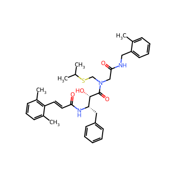 Cc1ccccc1CNC(=O)CN(CSC(C)C)C(=O)[C@@H](O)[C@H](Cc1ccccc1)NC(=O)/C=C/c1c(C)cccc1C